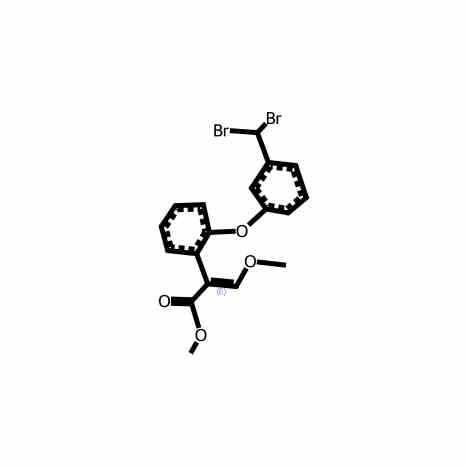 CO/C=C(/C(=O)OC)c1ccccc1Oc1cccc(C(Br)Br)c1